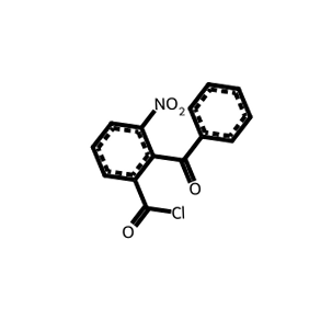 O=C(Cl)c1cccc([N+](=O)[O-])c1C(=O)c1ccccc1